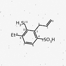 C=CCc1c(S(=O)(=O)O)ccc(CC)c1[SiH3]